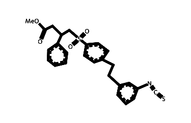 COC(=O)CC(CS(=O)(=O)c1ccc(CCc2cccc(N=C=S)c2)cc1)c1ccccc1